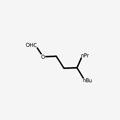 CCCCC(CCC)CCOC=O